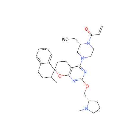 C=CC(=O)N1CCN(c2nc(OC[C@@H]3CCCN3C)nc3c2CCC2(O3)c3ccccc3CCC2C)C[C@@H]1CC#N